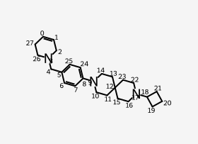 C1=CCN(Cc2ccc(N3CCC4(CC3)CCN(C3CCC3)CC4)cc2)CC1